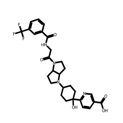 O=C(O)c1ccc(C2(O)CCC(N3CCC4C3CCN4C(=O)CNC(=O)c3cccc(C(F)(F)F)c3)CC2)nc1